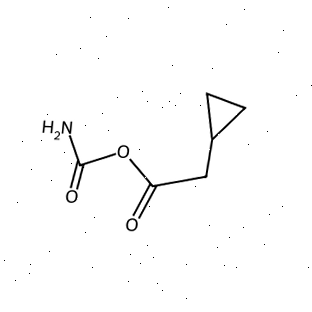 NC(=O)OC(=O)CC1CC1